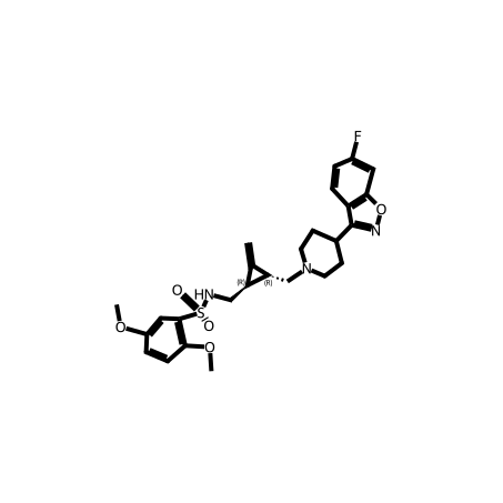 C=C1[C@H](CNS(=O)(=O)c2cc(OC)ccc2OC)[C@H]1CN1CCC(c2noc3cc(F)ccc23)CC1